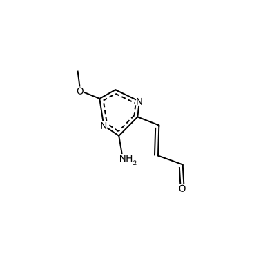 COc1cnc(/C=C/C=O)c(N)n1